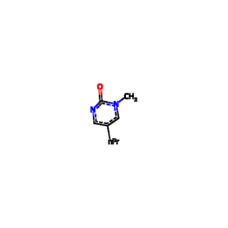 CCCc1cnc(=O)n(C)c1